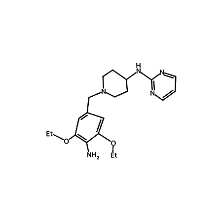 CCOc1cc(CN2CCC(Nc3ncccn3)CC2)cc(OCC)c1N